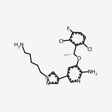 C[C@@H](Oc1cc(-c2cnn(CCCCCN)c2)cnc1N)c1c(Cl)ccc(F)c1Cl